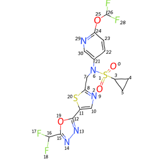 O=S(=O)(C1CC1)N(Cc1ncc(-c2nnc(C(F)F)o2)s1)c1ccc(OC(F)F)nc1